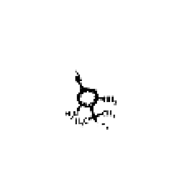 CC(C)(C)c1c(N)cc(C#N)cc1N